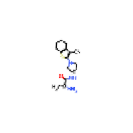 C[C@H](N)C(=O)N[C@H]1CCN(c2sc3c(c2C#N)CCCC3)C1